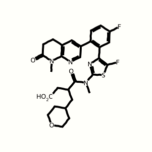 CN(C(=O)C(CC(=O)O)CC1CCOCC1)c1nc(-c2cc(F)ccc2-c2cnc3c(c2)CCC(=O)N3C)c(F)s1